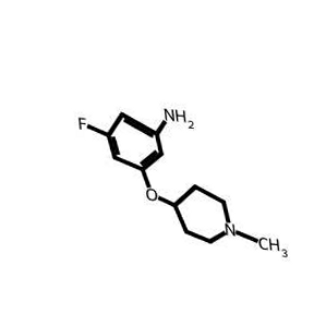 CN1CCC(Oc2cc(N)cc(F)c2)CC1